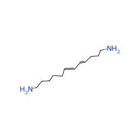 NCCCC=CC=CCCCCCN